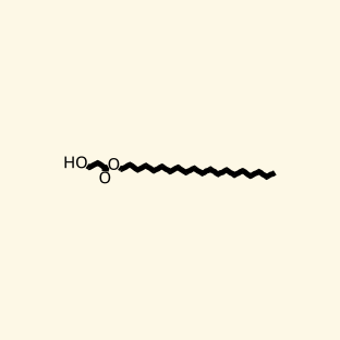 CCCCCCCCCCCCCCCCCCCCOC(=O)CCO